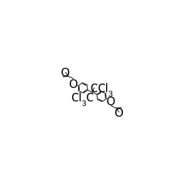 ClC(Cl)(Cl)C(c1ccc(OCC2CO2)cc1)(c1ccc(OCC2CO2)cc1)C(Cl)(Cl)Cl